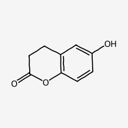 O=C1CCc2cc(O)ccc2O1